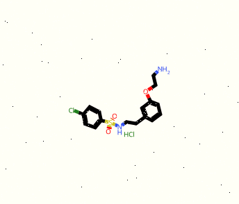 Cl.NCCOc1cccc(CCNS(=O)(=O)c2ccc(Cl)cc2)c1